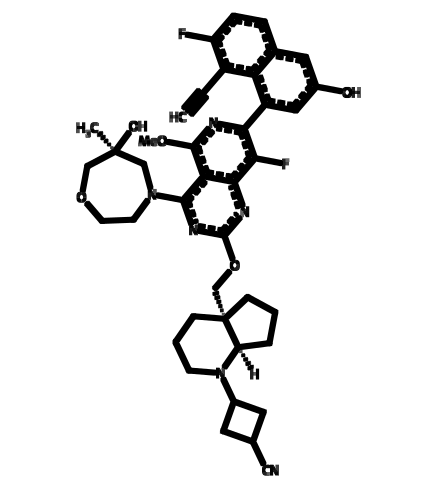 C#Cc1c(F)ccc2cc(O)cc(-c3nc(OC)c4c(N5CCOC[C@@](C)(O)C5)nc(OC[C@]56CCC[C@H]5N(C5CC(C#N)C5)CCC6)nc4c3F)c12